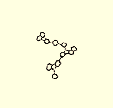 c1ccc(-n2c3ccccc3c3cc(-c4ccc5c(c4)c4ccc6ccccc6c4n5-c4cccc(-c5ccc(-c6ccc7c(c6)-c6cccc8cccc-7c68)cc5)c4)ccc32)cc1